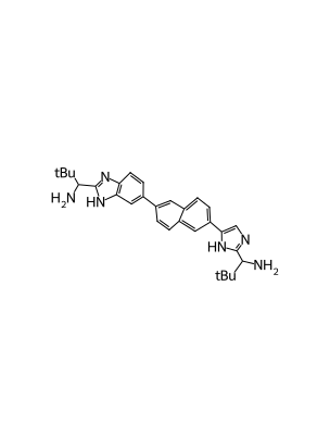 CC(C)(C)C(N)c1ncc(-c2ccc3cc(-c4ccc5nc(C(N)C(C)(C)C)[nH]c5c4)ccc3c2)[nH]1